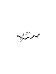 CCCCCCP(=O)(O)O.[AlH3]